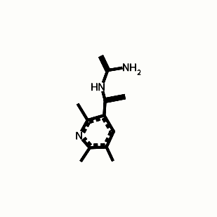 C=C(N)NC(=C)c1cc(C)c(C)nc1C